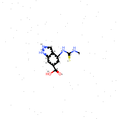 CNC(=S)Nc1cc(C(=O)O)cc2[nH]ncc12